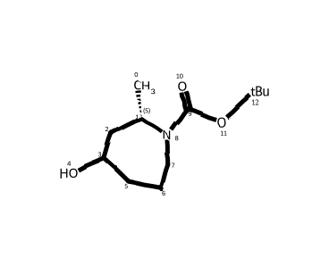 C[C@H]1CC(O)CCCN1C(=O)OC(C)(C)C